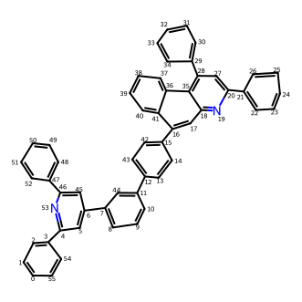 c1ccc(-c2cc(-c3cccc(-c4ccc(-c5cc6nc(-c7ccccc7)cc(-c7ccccc7)c6c6ccccc56)cc4)c3)cc(-c3ccccc3)n2)cc1